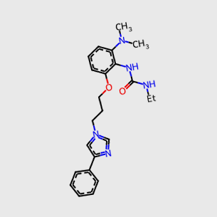 CCNC(=O)Nc1c(OCCCn2cnc(-c3ccccc3)c2)cccc1N(C)C